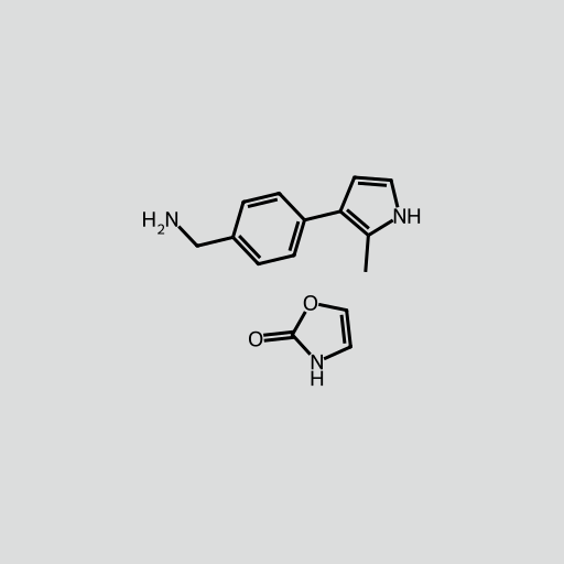 Cc1[nH]ccc1-c1ccc(CN)cc1.O=c1[nH]cco1